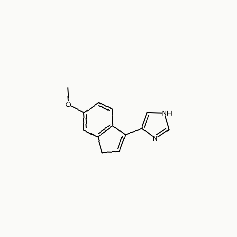 COc1ccc2c(c1)CC=C2c1c[nH]cn1